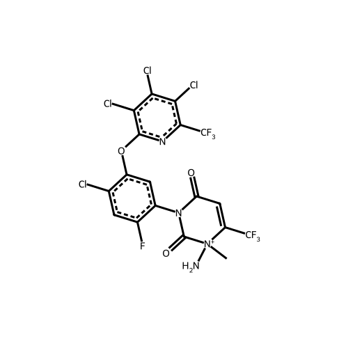 C[N+]1(N)C(=O)N(c2cc(Oc3nc(C(F)(F)F)c(Cl)c(Cl)c3Cl)c(Cl)cc2F)C(=O)C=C1C(F)(F)F